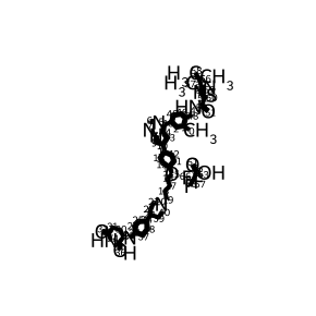 Cc1cc(-c2ncnn3cc(-c4ccc(OCCCCN5CCC(c6ccc(NC7CCC(=O)NC7=O)cc6)CC5)cc4)cc23)ccc1CNC(=O)c1nc(C(C)(C)C)ns1.O=C(O)C(F)(F)F